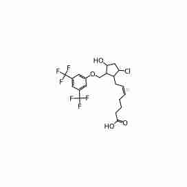 O=C(O)CCC/C=C\CC1C(Cl)CC(O)C1COc1cc(C(F)(F)F)cc(C(F)(F)F)c1